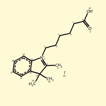 CC1=[N+](CCCCCC(=O)O)c2ccccc2C1(C)C.[I-]